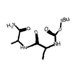 CC(NC(=O)C(C)NC(=O)OC(C)(C)C)C(N)=O